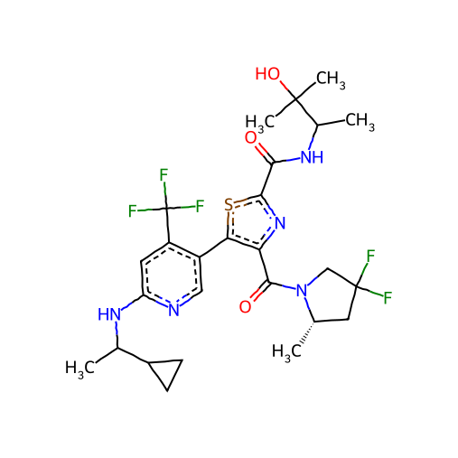 CC(Nc1cc(C(F)(F)F)c(-c2sc(C(=O)NC(C)C(C)(C)O)nc2C(=O)N2CC(F)(F)C[C@@H]2C)cn1)C1CC1